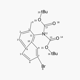 Cc1ccc2ccc(Br)cc2c1N(C(=O)OC(C)(C)C)C(=O)OC(C)(C)C